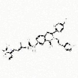 C=C/C(=C\C=C(/C)NC(=O)Nc1ccc2c(c1)C(=O)N(CCc1c[nH]cn1)C(c1ccc(Cl)cn1)C2)S(C)(=O)=O